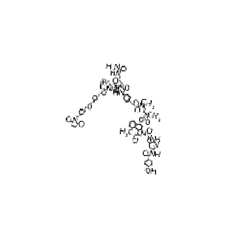 Cc1cccc2c(OC(=O)N(C)CCN(C)C(=O)OCc3ccc(NC(=O)[C@H](CCCNC(N)=O)NC(=O)[C@@H](NC(=O)OCCOCCOCCOCCN4C(=O)C=CC4=O)C(C)C)cc3)cc3c(c12)[C@H](CCl)CN3C(=O)c1cc2cc(NC(=O)C3=CC=C(O)CC3)cnc2[nH]1